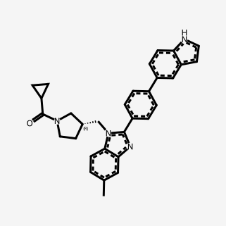 Cc1ccc2c(c1)nc(-c1ccc(-c3ccc4[nH]ccc4c3)cc1)n2C[C@@H]1CCN(C(=O)C2CC2)C1